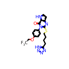 O=c1c2[nH]ccc2nc(SCCCCc2nnn[nH]2)n1-c1ccc(OCC(F)(F)F)cc1